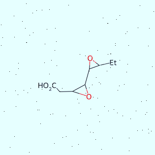 CCC1OC1C1OC1CC(=O)O